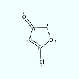 O=C1C=C(Cl)OC1